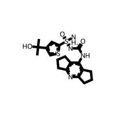 CC(C)(O)c1csc(S(N)(=O)=NC(=O)Nc2c3c(nc4c2CCC4)CCC3)c1